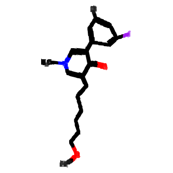 CCOCCCCCCc1cn(C)cc(-c2cc(I)cc(CC)c2)c1=O